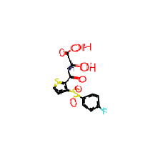 O=C(O)/C(O)=C/C(=O)c1sccc1S(=O)(=O)c1ccc(F)cc1